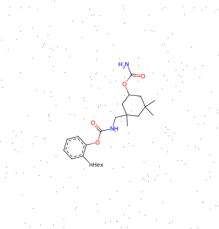 CCCCCCc1ccccc1OC(=O)NCC1(C)CC(OC(N)=O)CC(C)(C)C1